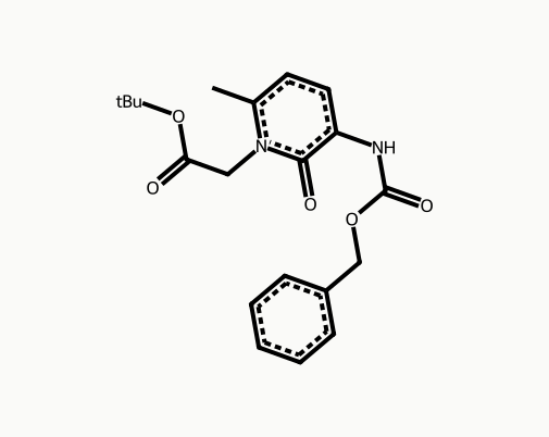 Cc1ccc(NC(=O)OCc2ccccc2)c(=O)n1CC(=O)OC(C)(C)C